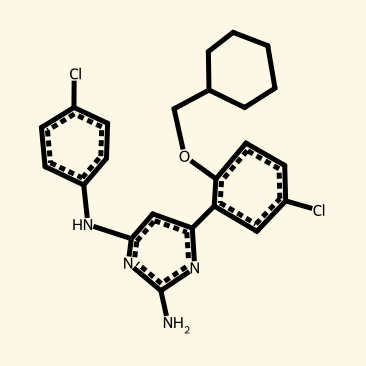 Nc1nc(Nc2ccc(Cl)cc2)cc(-c2cc(Cl)ccc2OCC2CCCCC2)n1